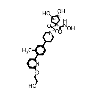 Cc1cc(C2CCN(S(=O)(=O)[C@]3(C(=O)NO)C[C@@H](O)[C@@H](O)C3)CC2)ccc1-c1cccc(OCCO)n1